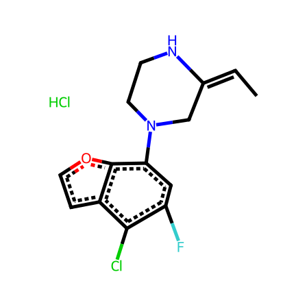 CC=C1CN(c2cc(F)c(Cl)c3ccoc23)CCN1.Cl